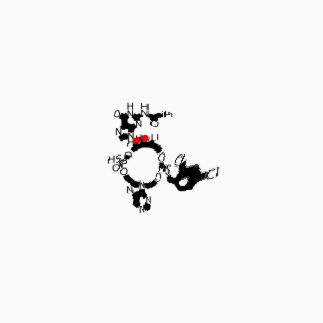 CC(C)C(=O)Nc1nc2c(ncn2[C@@H]2O[C@@H]3COP(SCc4ccc(Cl)cc4Cl)OCCn4c(nc5cncnc54)COP(=O)(S)O[C@@H]2[C@@H]3F)c(=O)[nH]1